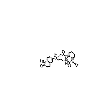 CC(=O)O[C@H]1CCCC[C@@H]1N(C(=O)NCCCOc1ccc2[nH]c(=O)ccc2c1)C1CC1